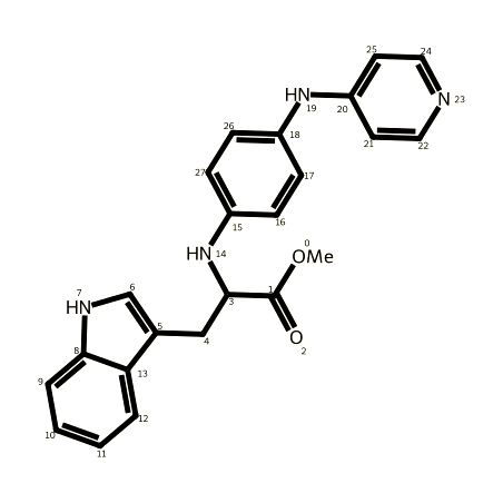 COC(=O)C(Cc1c[nH]c2ccccc12)Nc1ccc(Nc2ccncc2)cc1